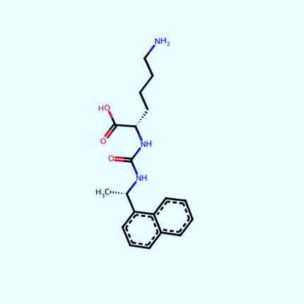 C[C@H](NC(=O)N[C@@H](CCCCN)C(=O)O)c1cccc2ccccc12